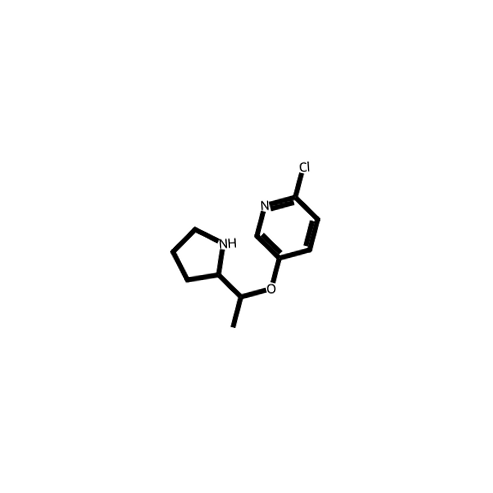 CC(Oc1ccc(Cl)nc1)C1CCCN1